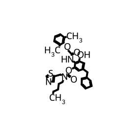 CCCCCN(Cc1cncs1)C(=O)Oc1cc(Cc2ccccc2)cc(O)c1NC(=O)COc1c(C)cccc1C